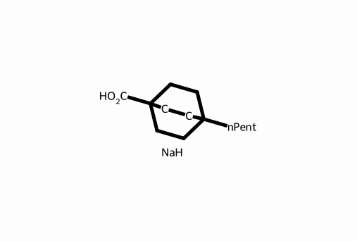 CCCCCC12CCC(C(=O)O)(CC1)CC2.[NaH]